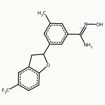 Cc1cc(/C(N)=N/O)cc(C2Cc3cc(C(F)(F)F)ccc3O2)c1